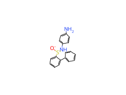 Nc1ccc(N[S+]([O-])c2ccccc2-c2ccccc2)cc1